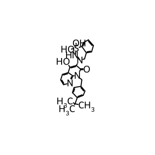 CC(C)(C)c1ccc(Cn2c(=O)c(N3Cc4ccccc4S(O)(O)N3)c(O)c3cccnc32)cc1